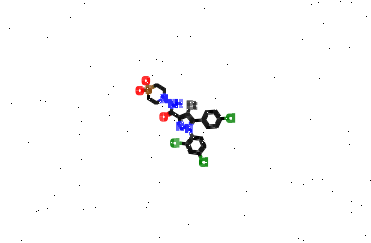 CCc1c(C(=O)NN2CCS(=O)(=O)CC2)nn(-c2ccc(Cl)cc2Cl)c1-c1ccc(Cl)cc1